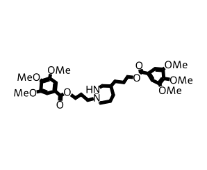 COc1cc(C(=O)OCCCC2CCCN(CCCOC(=O)c3cc(OC)c(OC)c(OC)c3)NC2)cc(OC)c1OC